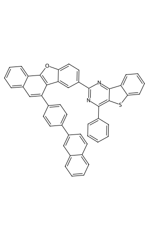 c1ccc(-c2nc(-c3ccc4oc5c6ccccc6cc(-c6ccc(-c7ccc8ccccc8c7)cc6)c5c4c3)nc3c2sc2ccccc23)cc1